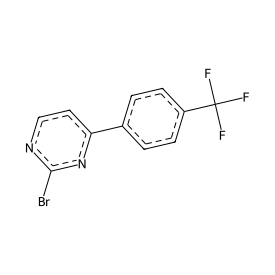 FC(F)(F)c1ccc(-c2ccnc(Br)n2)cc1